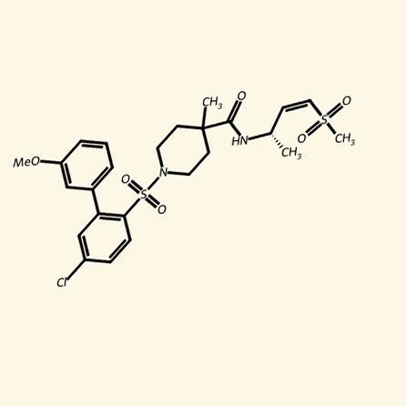 COc1cccc(-c2cc(Cl)ccc2S(=O)(=O)N2CCC(C)(C(=O)N[C@@H](C)/C=C\S(C)(=O)=O)CC2)c1